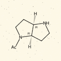 CC(=O)N1CC[C@H]2NCC[C@H]21